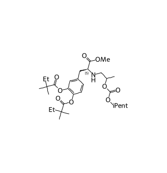 CCCC(C)OC(=O)OC(C)CN[C@@H](Cc1ccc(OC(=O)C(C)(C)CC)c(OC(=O)C(C)(C)CC)c1)C(=O)OC